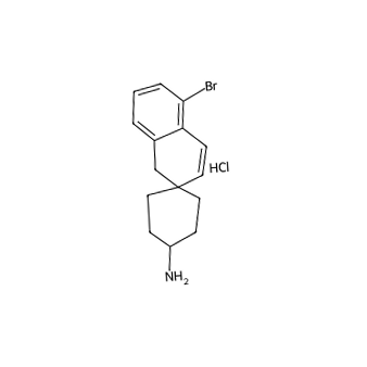 Cl.NC1CCC2(C=Cc3c(Br)cccc3C2)CC1